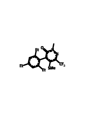 CCc1cc(CC)c(-c2c(SC)c(C(F)(F)F)nn(C)c2=O)c(CC)c1